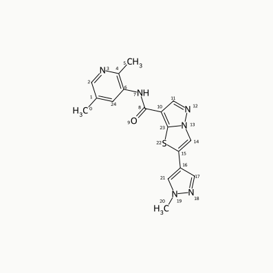 Cc1cnc(C)c(NC(=O)c2cnn3cc(-c4cnn(C)c4)sc23)c1